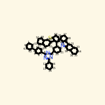 c1ccc(-c2ccc(-c3nc(-c4ccccc4)nc(-c4ccc(-n5c6ccccc6c6cc7ccccc7cc65)c(-c5cccc6sc7c8ccccc8ccc7c56)c4)n3)cc2)cc1